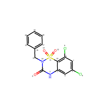 O=C1Nc2cc(Cl)cc(Cl)c2S(=O)(=O)N1Cc1ccccc1